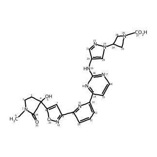 CN1CCC(O)(c2cc(-c3cccc(-c4ccnc(Nc5cnn(C6CN(C(=O)O)C6)c5)n4)n3)no2)C1=O